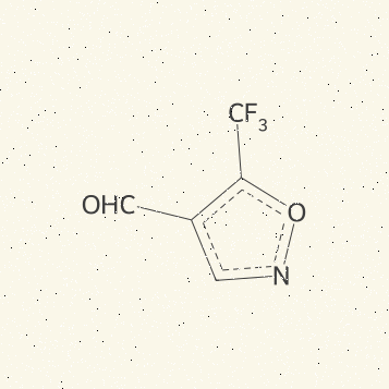 O=Cc1cnoc1C(F)(F)F